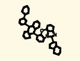 c1ccc(-c2cccc(-c3c4ccccc4c(-c4cccc5c4Oc4cccc6nc(-c7ccc8ccccc8c7)n-5c46)c4ccccc34)c2)cc1